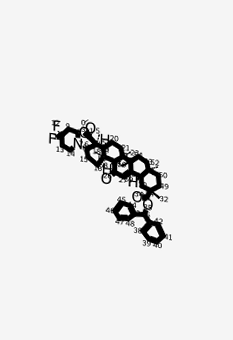 COC(=O)[C@]1(C)[C@@H](N2CCC(F)(F)CC2)CC[C@@]2(C)[C@H]1CC[C@]1(C)[C@@H]2C(=O)C=C2[C@@H]3C[C@@](C)(C(=O)OC(c4ccccc4)c4ccccc4)CC[C@]3(C)CC[C@]21C